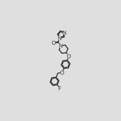 O=C(N1CCC(Oc2ccc(OCc3cccc(F)c3)cc2)CC1)n1ccnc1